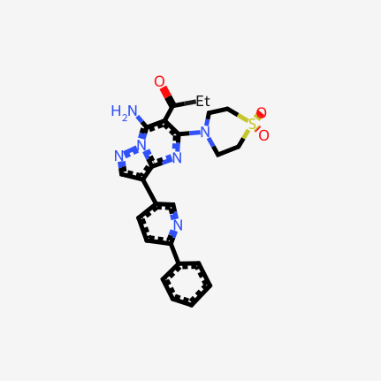 CCC(=O)c1c(N2CCS(=O)(=O)CC2)nc2c(-c3ccc(-c4ccccc4)nc3)cnn2c1N